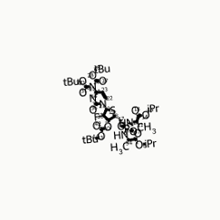 CC(C)OC(=O)[C@H](C)NP(=O)(N[C@@H](C)C(=O)OC(C)C)OC[C@H]1S[C@@H](n2ccc(N(C(=O)OC(C)(C)C)C(=O)OC(C)(C)C)nc2=O)[C@@H](F)[C@@H]1OC(=O)OC(C)(C)C